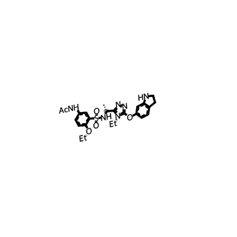 CCOc1ccc(NC(C)=O)cc1S(=O)(=O)N[C@H](C)c1nnc(Oc2ccc3c(c2)NCC3)n1CC